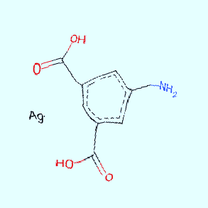 Nc1cc(C(=O)O)cc(C(=O)O)c1.[Ag]